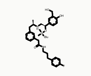 C[C@H](Cc1cccc(CC(=O)NCCCc2ccc(F)cc2)c1)NC[C@H](O[Si](C)(C)C(C)(C)C)c1ccc(O)c(CO)c1